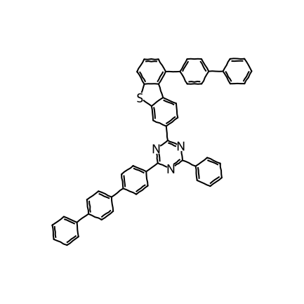 c1ccc(-c2ccc(-c3ccc(-c4nc(-c5ccccc5)nc(-c5ccc6c(c5)sc5cccc(-c7ccc(-c8ccccc8)cc7)c56)n4)cc3)cc2)cc1